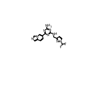 Nc1nc(NCc2ccn(C(F)F)n2)nc(-c2ccc3cncn3c2)n1